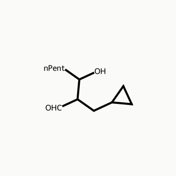 CCCCCC(O)C(C=O)CC1CC1